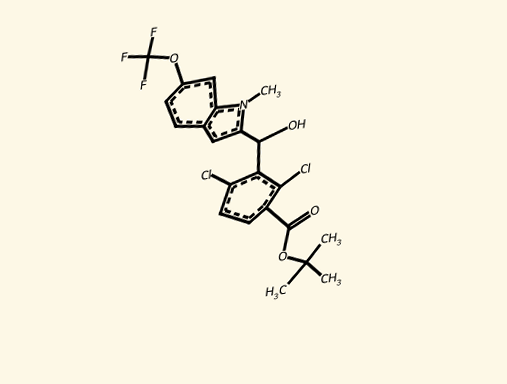 Cn1c(C(O)c2c(Cl)ccc(C(=O)OC(C)(C)C)c2Cl)cc2ccc(OC(F)(F)F)cc21